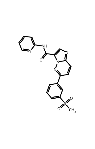 CS(=O)(=O)c1cccc(-c2ccc3ncc(C(=O)Nc4ccccn4)n3n2)c1